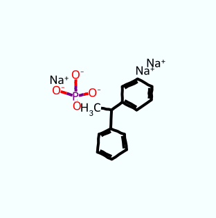 CC(c1ccccc1)c1ccccc1.O=P([O-])([O-])[O-].[Na+].[Na+].[Na+]